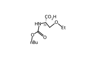 CCCCOC(=O)N[C@@H](COCC)C(=O)O